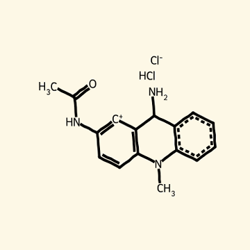 CC(=O)NC1=[C+]C2=C(C=C1)N(C)c1ccccc1C2N.Cl.[Cl-]